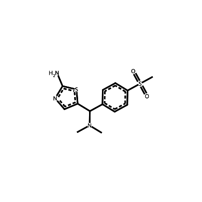 CN(C)C(c1ccc(S(C)(=O)=O)cc1)c1cnc(N)s1